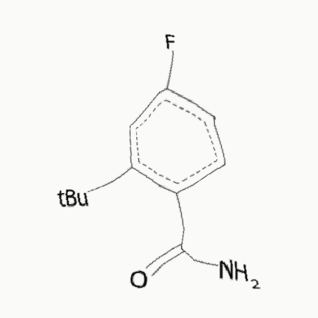 CC(C)(C)c1cc(F)ccc1C(N)=O